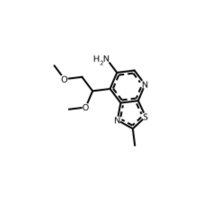 COCC(OC)c1c(N)cnc2sc(C)nc12